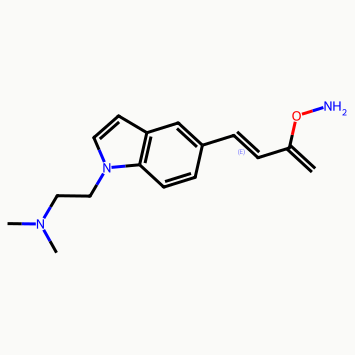 C=C(/C=C/c1ccc2c(ccn2CCN(C)C)c1)ON